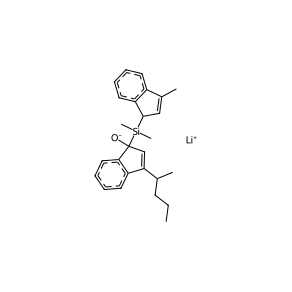 CCCC(C)C1=CC([O-])([Si](C)(C)C2C=C(C)c3ccccc32)c2ccccc21.[Li+]